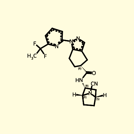 CC(F)(F)c1cccc(-n2ncc3c2CC[C@@H](C(=O)N[C@@H]2C[C@@H]4CC[C@H]2N4C#N)C3)n1